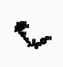 CCOC(OC(CNCCCOCCC(C)CNC(=O)COc1ccc(O)cc1)C(C)OC)C(O)O